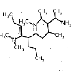 CC/C=C(/C(CCC)CCC(C)C(C(C)N)C(C)NC)N(C)C